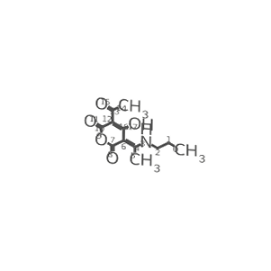 CCCNC(C)=C1C(=O)OC(=O)C(C(C)=O)=C1O